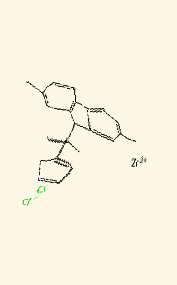 Cc1ccc2c(c1)C(C(C)(C)C1=CC=CC1)c1cc(C)ccc1-2.[Cl-].[Cl-].[Zr+2]